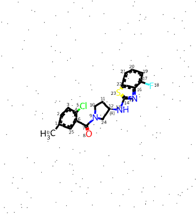 Cc1ccc(Cl)c(C(=O)N2CC[C@@H](Nc3nc4c(F)cccc4s3)C2)c1